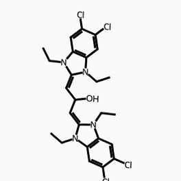 CCN1C(=CC(O)C=C2N(CC)c3cc(Cl)c(Cl)cc3N2CC)N(CC)c2cc(Cl)c(Cl)cc21